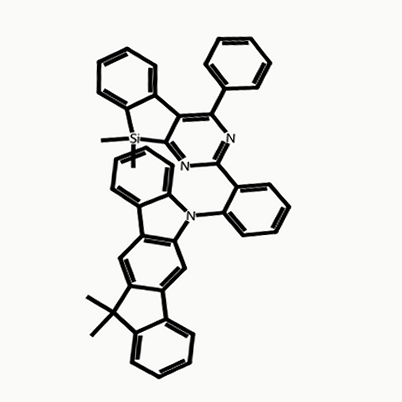 CC1(C)c2ccccc2-c2cc3c(cc21)c1ccccc1n3-c1ccccc1-c1nc(-c2ccccc2)c2c(n1)[Si](C)(C)c1ccccc1-2